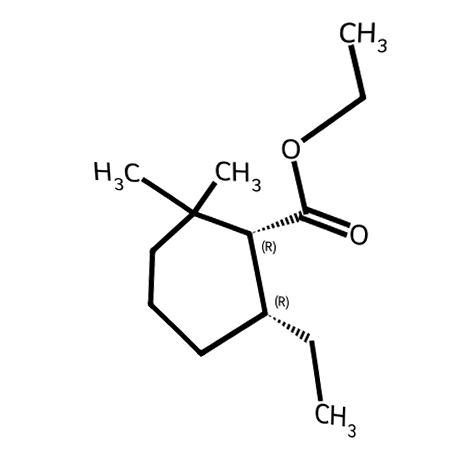 CCOC(=O)[C@@H]1[C@H](CC)CCCC1(C)C